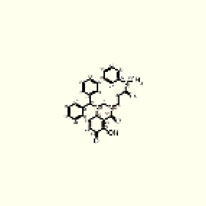 CN(C(=O)CCN1CN(C(c2ccccc2)c2ccccc2)C2C=CC(=O)C(O)=C2C1=O)c1ccccc1